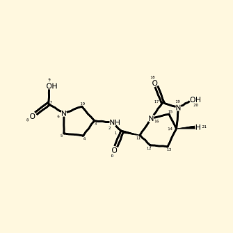 O=C(NC1CCN(C(=O)O)C1)[C@@H]1CC[C@@H]2CN1C(=O)N2O